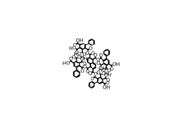 O=C(O)c1cc(-c2ccccc2)c(C(=O)OC(=O)c2ccc3c(C(=O)OC(=O)c4c(-c5ccccc5)cc(C(=O)O)c(C(=O)O)c4C(=O)O)c(C(=O)OC(=O)c4c(-c5ccccc5)cc(C(=O)O)c(C(=O)O)c4C(=O)O)ccc3c2C(=O)OC(=O)c2c(-c3ccccc3)cc(C(=O)O)c(C(=O)O)c2C(=O)O)c(C(=O)O)c1C(=O)O